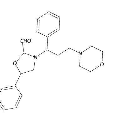 O=CC1OC(c2ccccc2)CN1C(CCN1CCOCC1)c1ccccc1